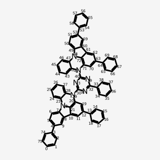 c1ccc(-c2ccc3c(c2)c2cc(-c4ccccc4)cc4c2n3-c2ccccc2N4c2nc(-c3ccccc3)nc(N3c4ccccc4-n4c5ccc(-c6ccccc6)cc5c5cc(-c6ccccc6)cc3c54)n2)cc1